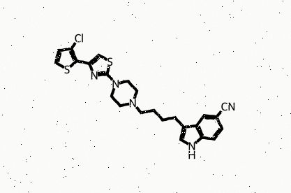 N#Cc1ccc2[nH]cc(CCCCN3CCN(c4nc(-c5sccc5Cl)cs4)CC3)c2c1